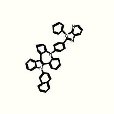 c1ccc(-n2c(-c3ccc(N4c5ccccc5-c5c(n(-c6ccc7ccccc7c6)c6ccccc56)-c5ccccc54)cc3)nc3cccnc32)cc1